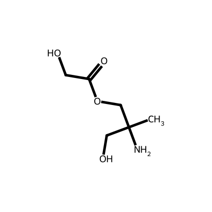 CC(N)(CO)COC(=O)CO